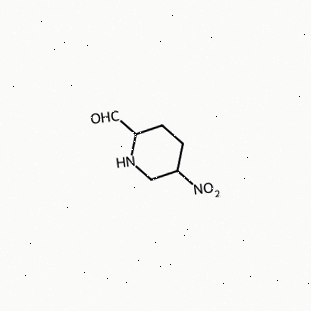 O=CC1CCC([N+](=O)[O-])CN1